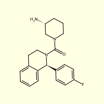 N[C@@H]1CCCN(C(=O)N2CCc3ccccc3[C@@H]2c2ccc(F)cc2)C1